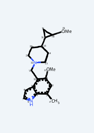 COc1cc(C)c2[nH]ccc2c1CN1CCC(C2CC2OC)CC1